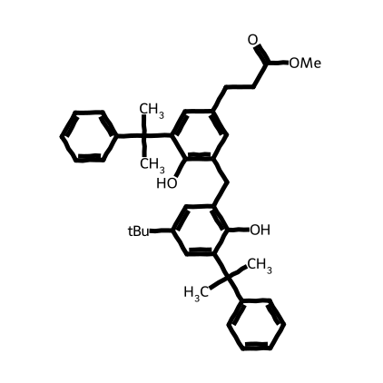 COC(=O)CCc1cc(Cc2cc(C(C)(C)C)cc(C(C)(C)c3ccccc3)c2O)c(O)c(C(C)(C)c2ccccc2)c1